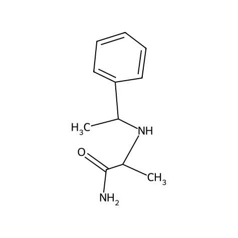 CC(NC(C)c1ccccc1)C(N)=O